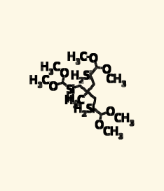 COC(OC)[SiH2]CC(C)(C[SiH2]C(OC)OC)C[SiH2]C(OC)OC